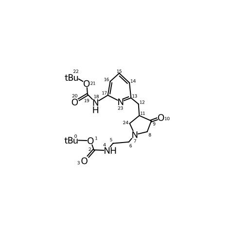 CC(C)(C)OC(=O)NCCN1CC(=O)C(Cc2cccc(NC(=O)OC(C)(C)C)n2)C1